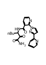 CCCCC(NC(=O)c1cccnc1-n1ccc(-c2ccccn2)n1)C(=O)C(N)=O